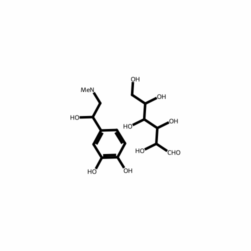 CNCC(O)c1ccc(O)c(O)c1.O=CC(O)C(O)C(O)C(O)CO